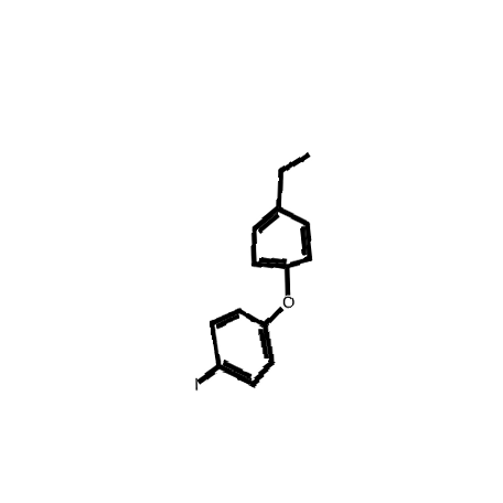 CCc1ccc(Oc2ccc(I)cc2)cc1